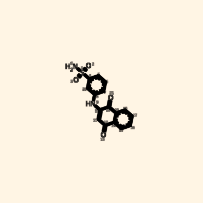 NS(=O)(=O)c1cccc(NC2=CC(=O)c3ccccc3C2=O)c1